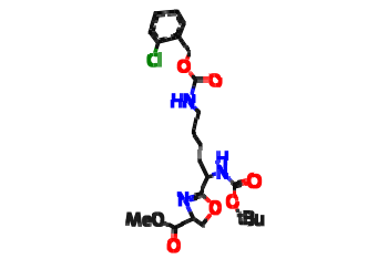 COC(=O)C1COC(C(CCCCNC(=O)OCc2ccccc2Cl)NC(=O)OC(C)(C)C)=N1